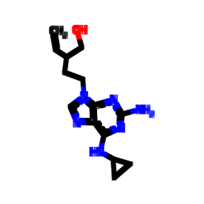 C=CC(CO)CCn1cnc2c(NC3CC3)nc(N)nc21